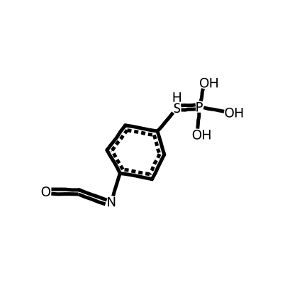 O=C=Nc1ccc([SH]=P(O)(O)O)cc1